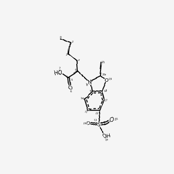 CCCCC(C(=O)O)N1c2ccc(S(=O)(=O)O)cc2OC1C